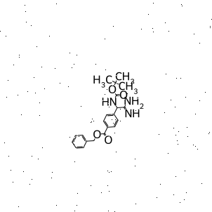 CC(C)(C)OC(=O)NC(C(=N)N)c1ccc(C(=O)OCc2ccccc2)cc1